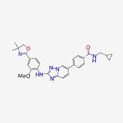 COc1cc(C2=NC(C)(C)CO2)ccc1Nc1nc2ccc(-c3ccc(C(=O)NCC4CC4)cc3)cn2n1